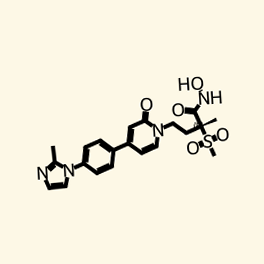 Cc1nccn1-c1ccc(-c2ccn(CC[C@](C)(C(=O)NO)S(C)(=O)=O)c(=O)c2)cc1